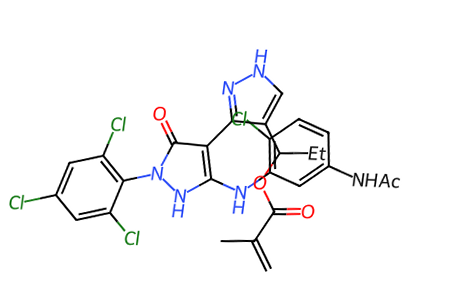 C=C(C)C(=O)OC(CC)c1c[nH]nc1-c1c(Nc2cc(NC(C)=O)ccc2Cl)[nH]n(-c2c(Cl)cc(Cl)cc2Cl)c1=O